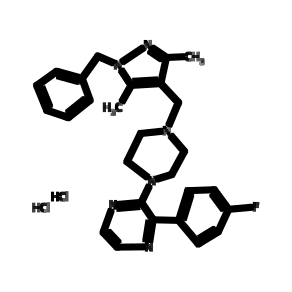 Cc1nn(Cc2ccccc2)c(C)c1CN1CCN(c2nccnc2-c2ccc(F)cc2)CC1.Cl.Cl